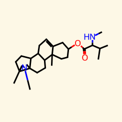 CNC(C(=O)OC1CCC2(C)C(=CCC3C2CCC24CN(C)C(C)C2CCC34)C1)C(C)C